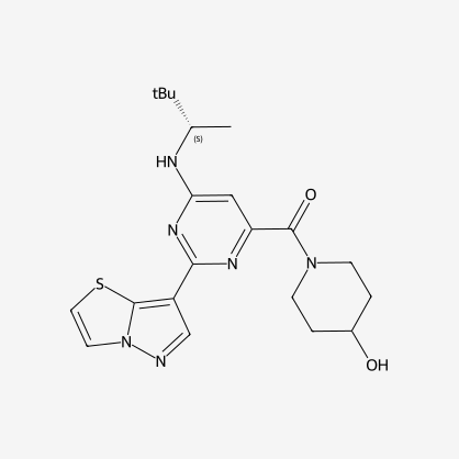 C[C@H](Nc1cc(C(=O)N2CCC(O)CC2)nc(-c2cnn3ccsc23)n1)C(C)(C)C